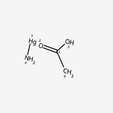 CC(=O)O.[NH2][Hg]